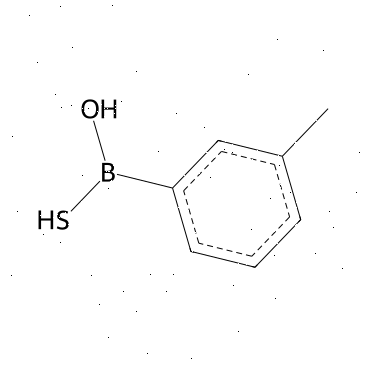 Cc1cccc(B(O)S)c1